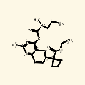 CCCN(C)C(=O)Oc1nc(N)nc2ccc(C3(C(=O)NCC)CCC3)cc12